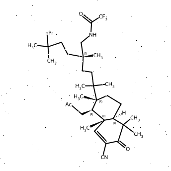 CCCC(C)(C)CC[C@@](C)(CCC(C)(C)[C@]1(C)CC[C@H]2C(C)(C)C(=O)C(C#N)=C[C@]2(C)[C@H]1CC(C)=O)CNC(=O)C(F)(F)F